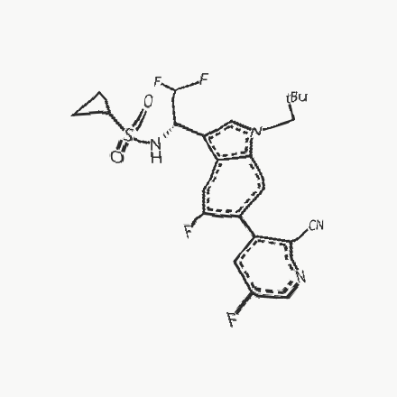 CC(C)(C)Cn1cc([C@H](NS(=O)(=O)C2CC2)C(F)F)c2cc(F)c(-c3cc(F)cnc3C#N)cc21